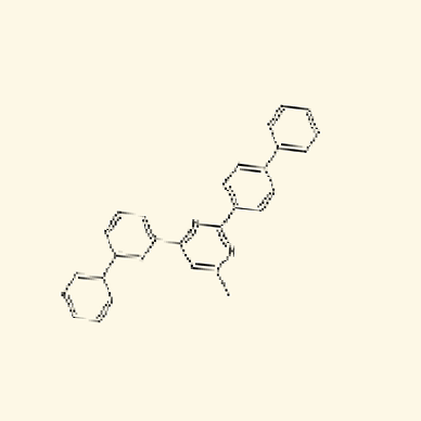 Cc1cc(-c2cccc(-c3ccccc3)c2)nc(-c2ccc(-c3ccccc3)cc2)n1